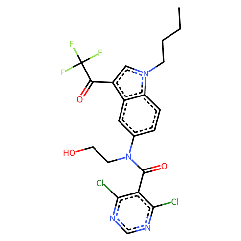 CCCCn1cc(C(=O)C(F)(F)F)c2cc(N(CCO)C(=O)c3c(Cl)ncnc3Cl)ccc21